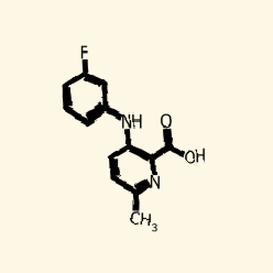 Cc1ccc(Nc2cccc(F)c2)c(C(=O)O)n1